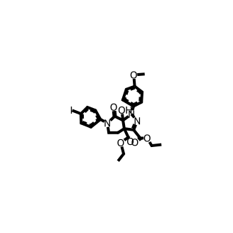 CCOC(=O)C1=NN(c2ccc(OC)cc2)C2(O)C(=O)N(c3ccc(I)cc3)CCC12C(=O)OCC